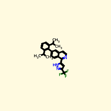 CC(C)c1cccc(C(C)C)c1-c1ccc2c(-c3cc(C(F)(F)F)n[nH]3)nccc2c1